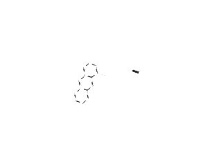 [C]#CCCCCc1cccc2cc3ccccc3cc12